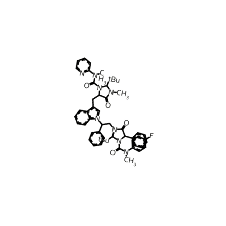 CN(C(=O)N1C(c2ccccc2)C(=O)N(CC(c2ccccc2)n2cc(CC3C(=O)N(C)C(C(C)(C)C)N3C(=O)N(C)c3ccccn3)c3ccccc32)C1C(C)(C)C)c1ccc(F)cc1